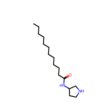 CCCCCCCCCCCC(=O)NC1CCNC1